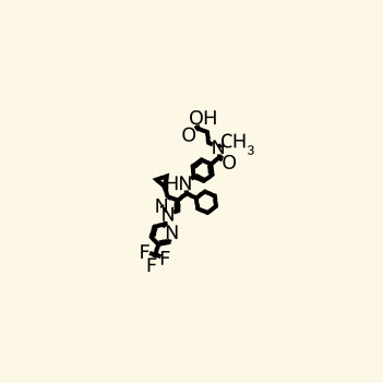 CN(CCC(=O)O)C(=O)c1ccc(NC(c2cn(-c3ccc(C(F)(F)F)cn3)nc2C2CC2)C2CCCCC2)cc1